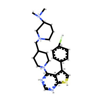 CN(C)C1CCCN(CC2CCN(c3ncnc4scc(-c5ccc(F)cc5)c34)CC2)C1